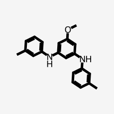 COc1cc(Nc2cccc(C)c2)cc(Nc2cccc(C)c2)c1